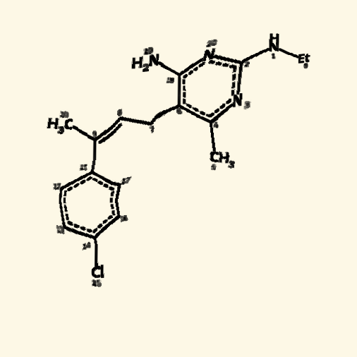 CCNc1nc(C)c(C/C=C(/C)c2ccc(Cl)cc2)c(N)n1